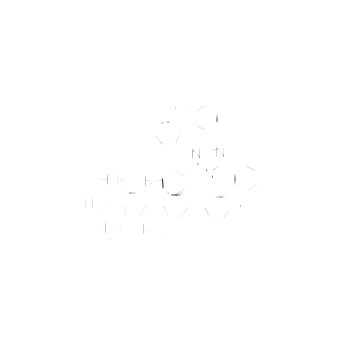 Bc1c(B)c(B)c(-c2ccc(-c3ccc4oc5cccc(-c6nc(-c7ccccc7)nc(-c7cccc8oc9ccccc9c78)n6)c5c4c3)cc2)c(B)c1B